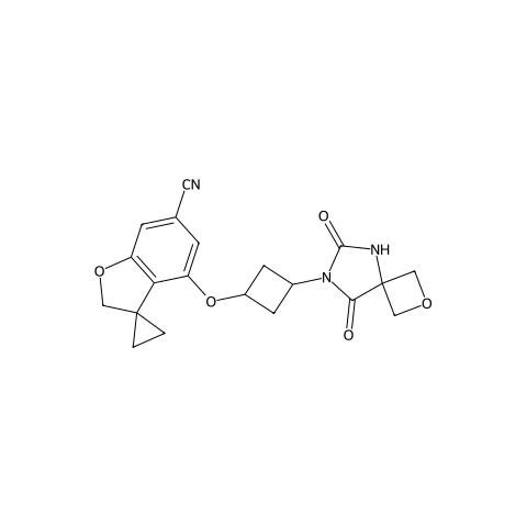 N#Cc1cc2c(c(OC3CC(N4C(=O)NC5(COC5)C4=O)C3)c1)C1(CC1)CO2